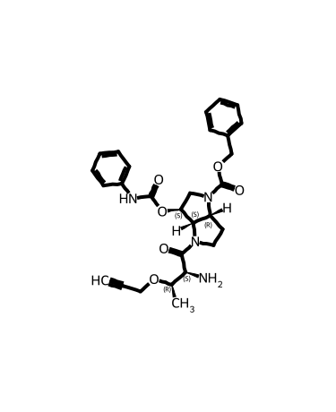 C#CCO[C@H](C)[C@H](N)C(=O)N1CC[C@@H]2[C@H]1[C@@H](OC(=O)Nc1ccccc1)CN2C(=O)OCc1ccccc1